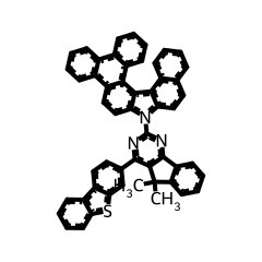 CC1(C)c2ccccc2-c2nc(-n3c4ccc5ccccc5c4c4c5c6ccccc6c6ccccc6c5ccc43)nc(-c3ccc4c(c3)sc3ccccc34)c21